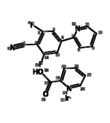 N#Cc1c(F)cc(-c2ccccn2)cc1F.O=C(O)c1ccccn1.[Ir]